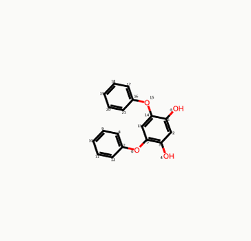 Oc1cc(O)c(Oc2ccccc2)cc1Oc1ccccc1